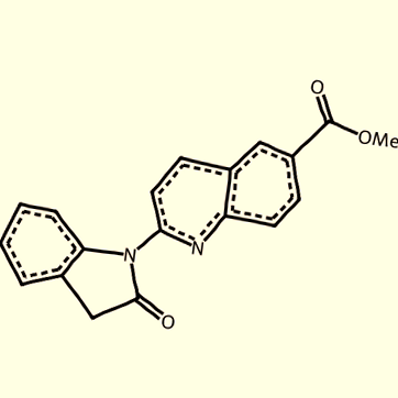 COC(=O)c1ccc2nc(N3C(=O)Cc4ccccc43)ccc2c1